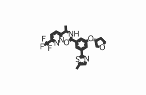 Cc1cnc(-c2cc(O[C@H]3CCOC3)cc(C(=O)NC(C)c3ccc(C(F)(F)F)nn3)c2)s1